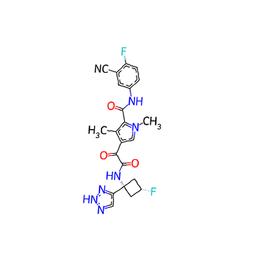 Cc1c(C(=O)C(=O)N[C@]2(c3cn[nH]n3)C[C@H](F)C2)cn(C)c1C(=O)Nc1ccc(F)c(C#N)c1